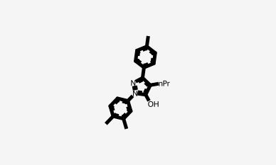 CCCc1c(-c2ccc(C)cc2)nn(-c2ccc(C)c(C)c2)c1O